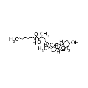 CCCCCCNC(=O)C(=O)C(C)CCC[C@@H](C)[C@H]1CC[C@H]2[C@@H]3CC=C4C[C@@H](O)CC[C@]4(C)[C@H]3CC[C@]12C